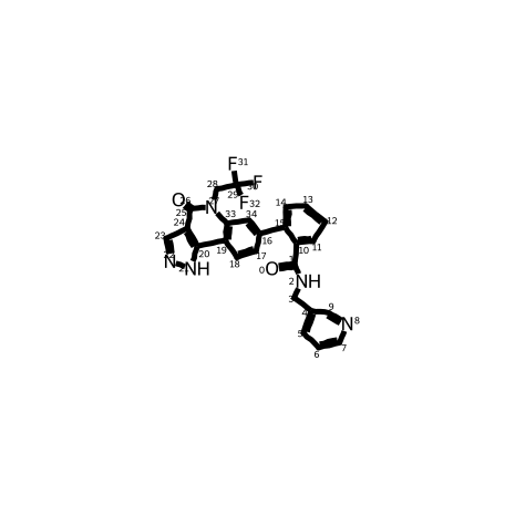 O=C(NCc1cccnc1)c1ccccc1-c1ccc2c3[nH]ncc3c(=O)n(CC(F)(F)F)c2c1